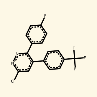 Fc1ccc(-c2nnc(Cl)cc2-c2ccc(C(F)(F)F)cc2)cc1